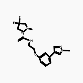 CN1CC(F)(F)C[C@H]1C(=O)NCCOc1c[c]cc(-c2cnn(C)c2)c1